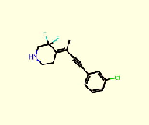 C/C(C#Cc1cccc(Cl)c1)=C1/CCNCC1(F)F